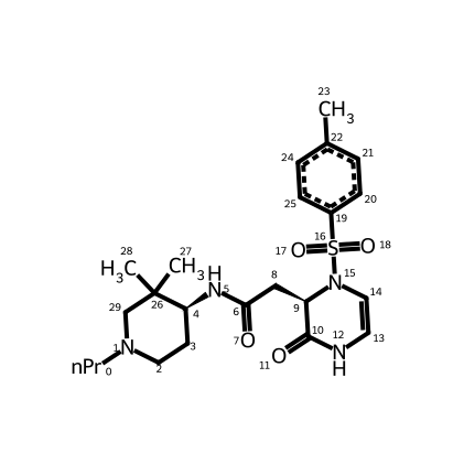 CCCN1CC[C@H](NC(=O)C[C@@H]2C(=O)NC=CN2S(=O)(=O)c2ccc(C)cc2)C(C)(C)C1